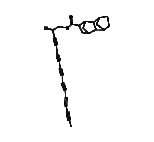 CC#CC#CC#CC#CC#CC#CC(CC)COC(=O)C1CC2CC1C1C3CCC(C3)C21